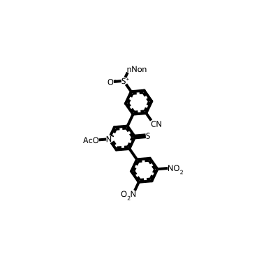 CCCCCCCCC[S+]([O-])c1ccc(C#N)c(-c2cn(OC(C)=O)cc(-c3cc([N+](=O)[O-])cc([N+](=O)[O-])c3)c2=S)c1